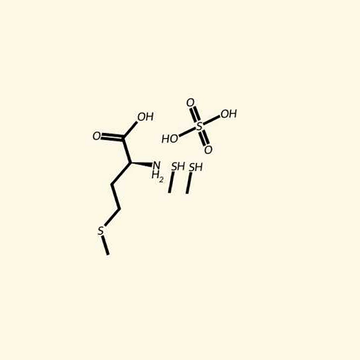 CS.CS.CSCC[C@H](N)C(=O)O.O=S(=O)(O)O